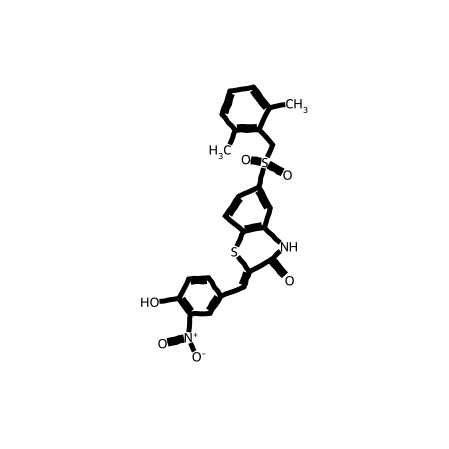 Cc1cccc(C)c1CS(=O)(=O)c1ccc2c(c1)NC(=O)/C(=C/c1ccc(O)c([N+](=O)[O-])c1)S2